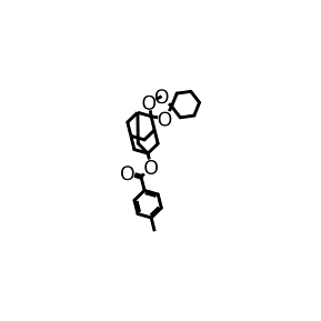 Cc1ccc(C(=O)OC23CC4CC(C2)C2(OOC5(CCCCC5)O2)C(C4)C3)cc1